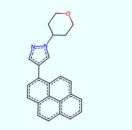 c1cc2ccc3ccc(-c4cnn(C5CCOCC5)c4)c4ccc(c1)c2c34